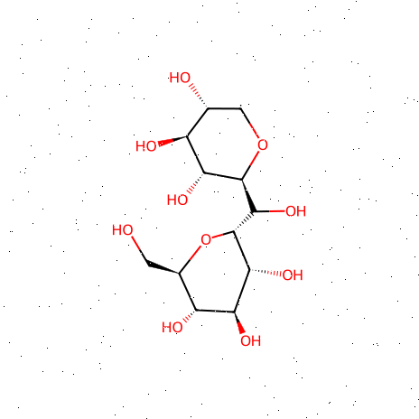 OC[C@H]1O[C@H](C(O)[C@@H]2O[CH][C@@H](O)[C@H](O)[C@H]2O)[C@H](O)[C@@H](O)[C@@H]1O